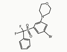 O=S(=O)(c1cc(Br)cc(N2CCOCC2)c1)C(F)(F)c1ccccc1